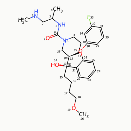 CNCC(C)NC(=O)N1CCC[C@@H]([C@@](O)(CCCCOC)c2ccccc2Oc2cccc(F)c2)C1